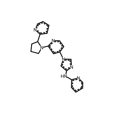 c1ccc(Nc2cn(-c3ccnc(N4CCCC4c4ccccn4)c3)cn2)nc1